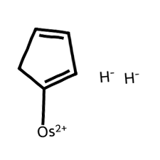 [H-].[H-].[Os+2][C]1=CC=CC1